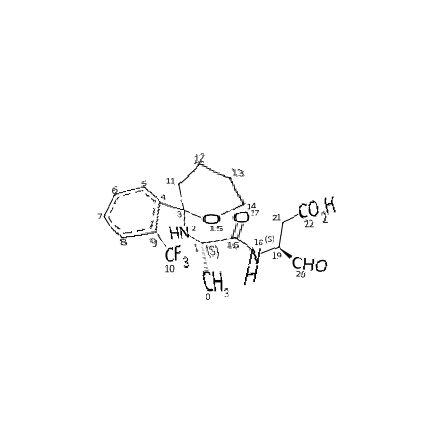 C[C@H](NC1(c2ccccc2C(F)(F)F)CCCCO1)C(=O)N[C@H](C=O)CC(=O)O